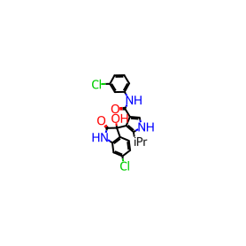 CC(C)c1[nH]cc(C(=O)Nc2cccc(Cl)c2)c1C1(O)C(=O)Nc2cc(Cl)ccc21